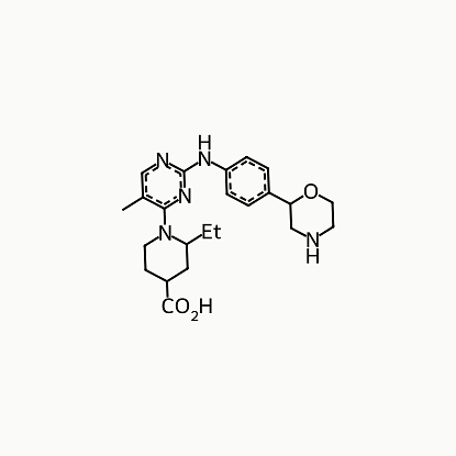 CCC1CC(C(=O)O)CCN1c1nc(Nc2ccc(C3CNCCO3)cc2)ncc1C